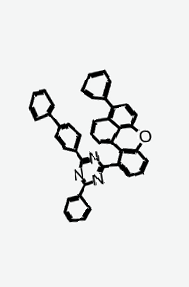 c1ccc(-c2ccc(-c3nc(-c4ccccc4)nc(-c4cccc5c4-c4cccc6c(-c7ccccc7)ccc(c46)O5)n3)cc2)cc1